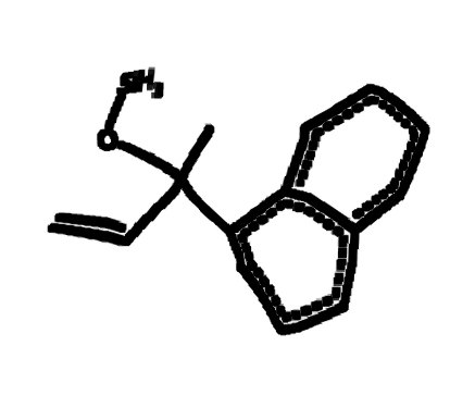 C=CC(C)(O[SiH3])c1cccc2ccccc12